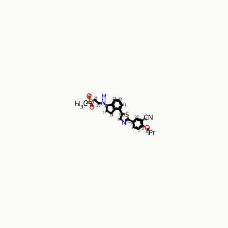 CC(C)Oc1ccc(C2=NCC(c3cccc4c3CC[C@@H]4NCCS(C)(=O)=O)S2)cc1C#N